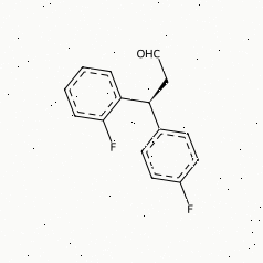 O=CC[C@@H](c1ccc(F)cc1)c1ccccc1F